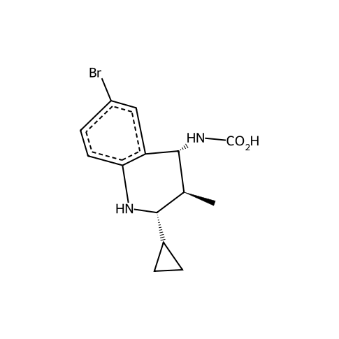 C[C@@H]1[C@@H](NC(=O)O)c2cc(Br)ccc2N[C@H]1C1CC1